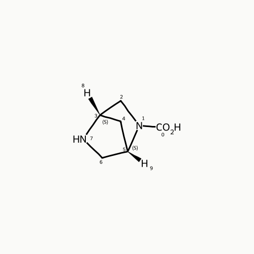 O=C(O)N1C[C@@H]2C[C@H]1CN2